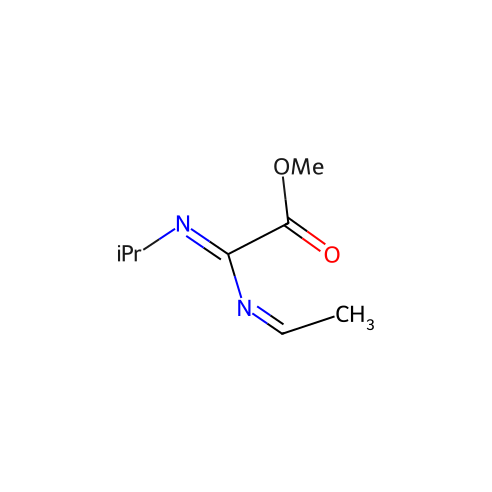 C/C=N\C(=N/C(C)C)C(=O)OC